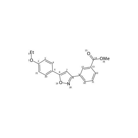 CCOc1ccc(-c2cc(-c3cccc(C(=O)OC)c3)no2)cc1